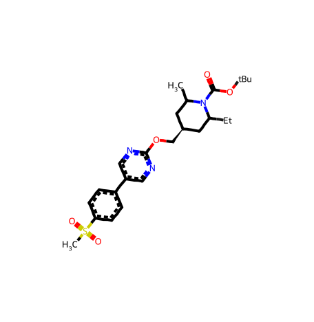 CCC1C[C@@H](COc2ncc(-c3ccc(S(C)(=O)=O)cc3)cn2)CC(C)N1C(=O)OC(C)(C)C